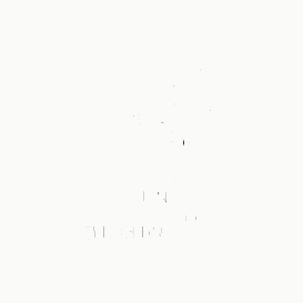 CN(O)C(=O)NCCOC(=O)c1ccccc1